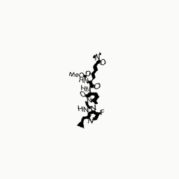 COC(=O)N[C@@H](CC/C=C/C(=O)N(C)C)C(=O)Nc1ccc(C)n(Cc2nc3c(F)cnc(CC4CC4)c3[nH]2)c1=O